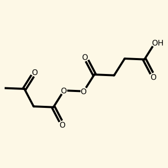 CC(=O)CC(=O)OOC(=O)CCC(=O)O